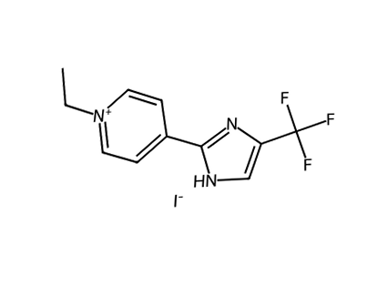 CC[n+]1ccc(-c2nc(C(F)(F)F)c[nH]2)cc1.[I-]